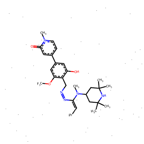 CC(C)/C=C(\N=N/Cc1c(O)cc(-c2ccn(C)c(=O)c2)cc1OC(F)(F)F)N(C)C1CC(C)(C)NC(C)(C)C1